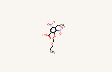 CCCOCCOc1c(C(=O)O)cc([N+](=O)[O-])c(CC)c1[N+](=O)[O-]